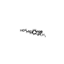 CS(=O)(=O)Nc1ccc(CNCCO)cc1